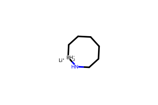 [BH2-]1CCCCCCN1.[Li+]